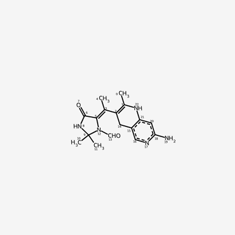 CC1=C(/C(C)=C2/C(=O)NC(C)(C)N2C=O)Cc2cnc(N)cc2N1